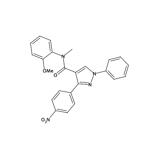 COc1ccccc1N(C)C(=O)c1cn(-c2ccccc2)nc1-c1ccc([N+](=O)[O-])cc1